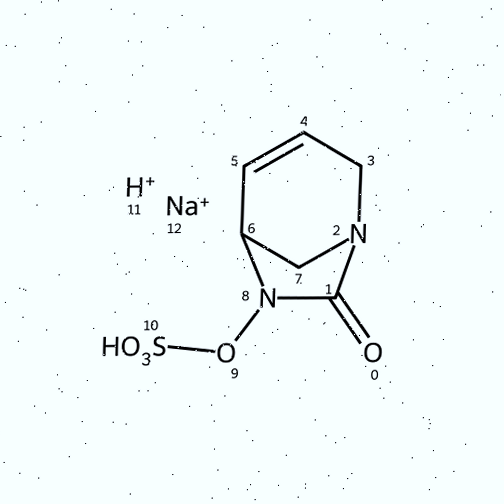 O=C1N2CC=CC(C2)N1OS(=O)(=O)O.[H+].[Na+]